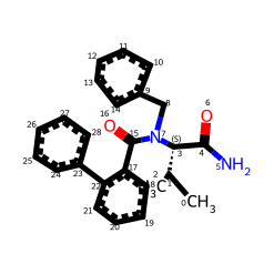 CC(C)[C@@H](C(N)=O)N(Cc1ccccc1)C(=O)c1ccccc1-c1ccccc1